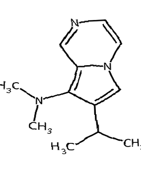 CC(C)c1cn2ccncc2c1N(C)C